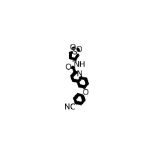 N#Cc1ccc(Oc2ccc3nc(C(=O)N[C@@H]4CCS(=O)(=O)C4)ccc3c2)cc1